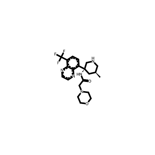 C[C@@H]1CNC[C@](NC(=O)CN2CCOCC2)(c2ccc(C(F)(F)F)c3nccnc23)C1